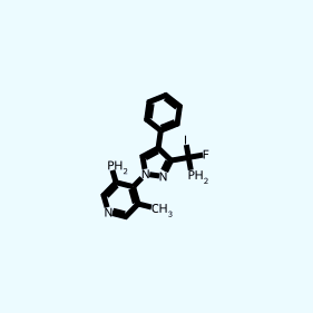 Cc1cncc(P)c1-n1cc(-c2ccccc2)c(C(F)(P)I)n1